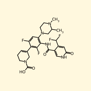 CC1CN(c2cc(F)c(C3=CCCN(C(=O)O)C3)c(F)c2NC(=O)c2c[nH]c(=O)cc2C(F)F)CCN1C